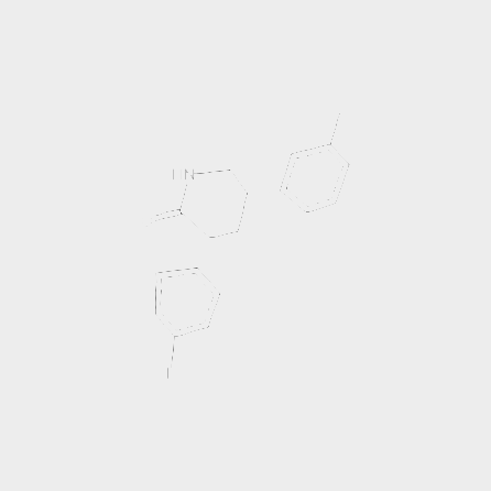 Cc1cccc([C@H]2CNC(=O)[C@@H](c3ccc(F)cc3)C2)c1